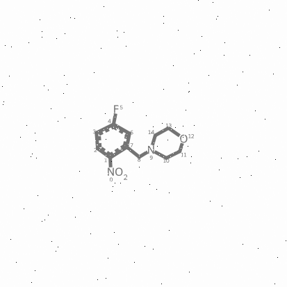 O=[N+]([O-])c1ccc(F)cc1CN1CCOCC1